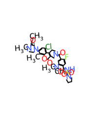 COC[C@H]1CN(c2cc(Cl)c3c4c(c(=O)oc3c2C)CN(C(=O)c2cc(N(C)C)c(C(=O)NS(=O)(=O)N3CCCC3)cc2F)CC4)CCN1C